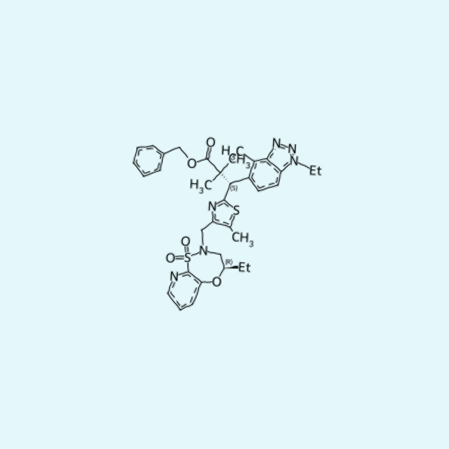 CC[C@@H]1CN(Cc2nc([C@@H](c3ccc4c(nnn4CC)c3C)C(C)(C)C(=O)OCc3ccccc3)sc2C)S(=O)(=O)c2ncccc2O1